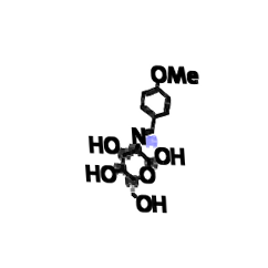 COc1ccc(/C=N/[C@@H]2[C@@H](O)[C@H](O)[C@@H](CO)O[C@H]2O)cc1